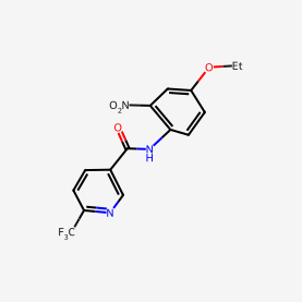 CCOc1ccc(NC(=O)c2ccc(C(F)(F)F)nc2)c([N+](=O)[O-])c1